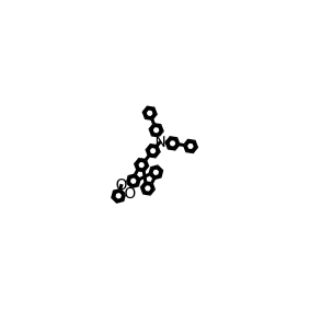 c1ccc(-c2ccc(N(c3ccc(-c4ccccc4)cc3)c3ccc(-c4ccc5c(c4)C4(c6ccccc6-c6ccccc64)c4cc6c(cc4-5)Oc4ccccc4O6)cc3)cc2)cc1